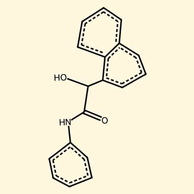 O=C(Nc1ccccc1)C(O)c1cccc2ccccc12